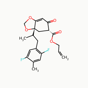 C=CCOC(=O)[C@@H]1C[C@]2(C(C)Cc3cc(F)c(C)cc3F)OCOC2=CC1=O